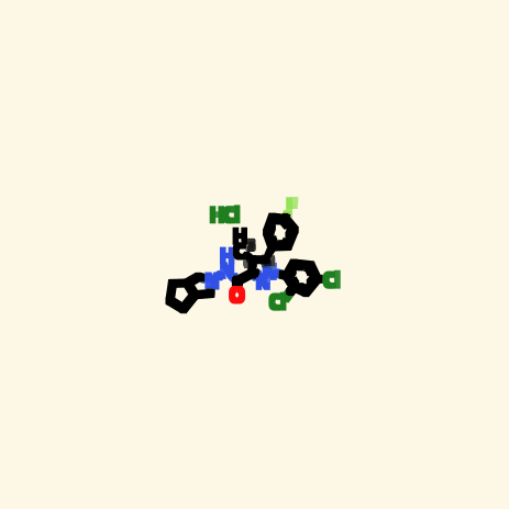 C[C@@H]1C(C(=O)NN2CC3CCCC3C2)=NN(c2ccc(Cl)cc2Cl)[C@@H]1c1ccc(F)cc1.Cl